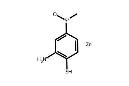 C[S+]([O-])c1ccc(S)c(N)c1.[Zn]